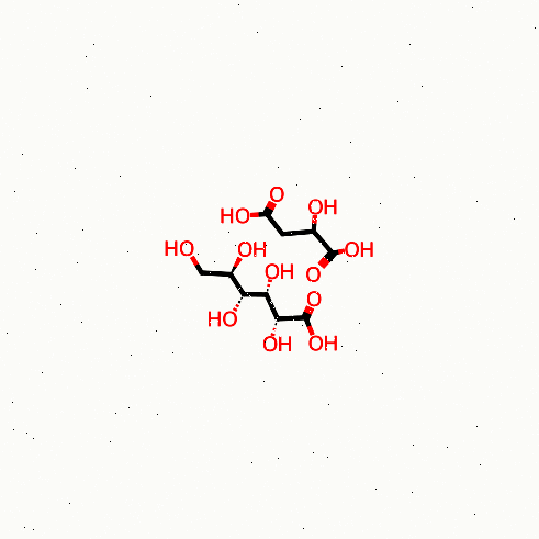 O=C(O)CC(O)C(=O)O.O=C(O)[C@H](O)[C@@H](O)[C@H](O)[C@H](O)CO